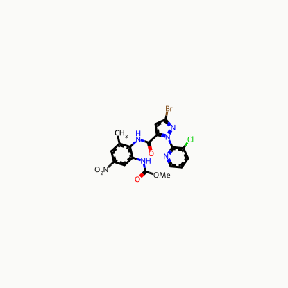 COC(=O)Nc1cc([N+](=O)[O-])cc(C)c1NC(=O)c1cc(Br)nn1-c1ncccc1Cl